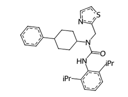 CC(C)c1cccc(C(C)C)c1NC(=O)N(Cc1nccs1)C1CCC(c2ccccc2)CC1